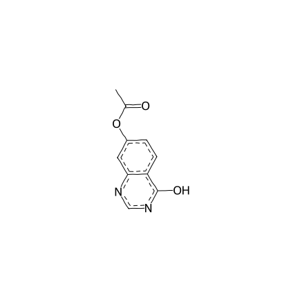 CC(=O)Oc1ccc2c(O)ncnc2c1